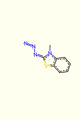 Cn1/c(=N\N=[N])sc2ccccc21